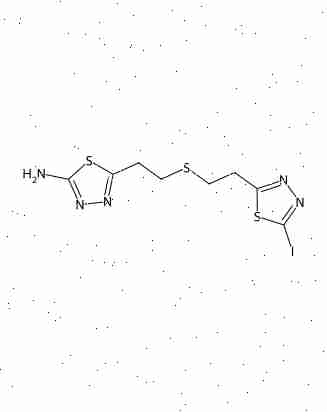 Nc1nnc(CCSCCc2nnc(I)s2)s1